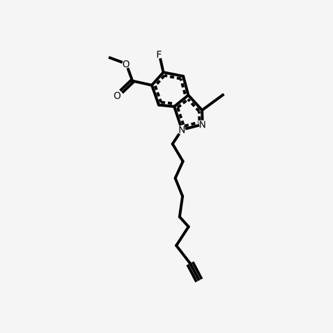 C#CCCCCCCCn1nc(C)c2cc(F)c(C(=O)OC)cc21